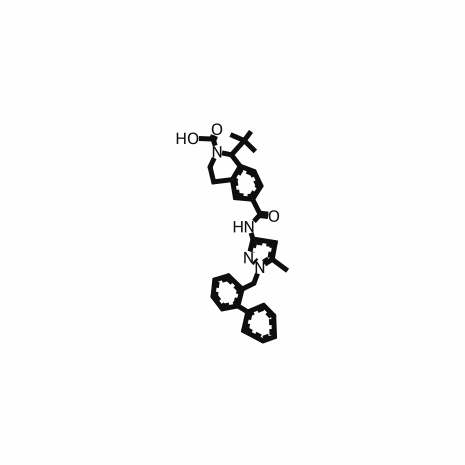 Cc1cc(NC(=O)c2ccc3c(c2)CCN(C(=O)O)C3C(C)(C)C)nn1Cc1ccccc1-c1ccccc1